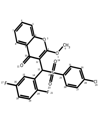 COc1oc2ccccc2c(=O)c1C(c1cc(F)ccc1F)S(=O)(=O)c1ccc(Cl)cc1